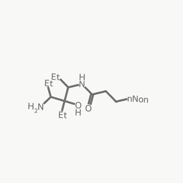 CCCCCCCCCCCC(=O)NC(CC)C(O)(CC)C(N)CC